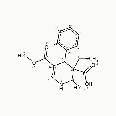 CCC1(C(=O)O)C(C)NN=C(C(=O)OC)C1c1cccnc1